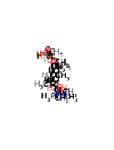 CC(C)C1=C2C(CC[C@]3(C)[C@@H]2CC[C@@H]2[C@@]4(C)CC[C@H](OC(=O)CC(C)(C)C(=O)O)C(C)(C)[C@@H]4CC[C@]23C)C([C@@H](O)CN(C(=O)CN(C)C)C(C)C)C1=O